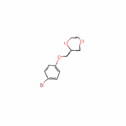 Brc1ccc(OCC2COC=CO2)cc1